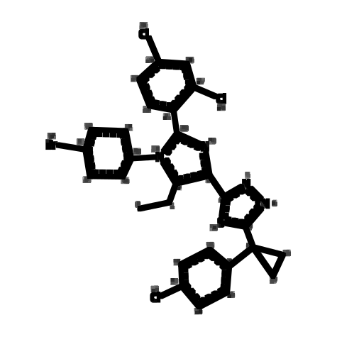 CCc1c(-c2nnc(C3(c4ccc(Cl)cc4)CC3)s2)nc(-c2ccc(Cl)cc2Cl)n1-c1ccc(Br)cc1